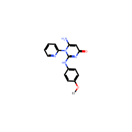 CCOc1ccc(Nc2nc(=O)cc(N)n2-c2ccccn2)cc1